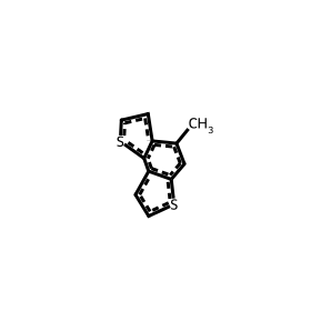 Cc1cc2sccc2c2sccc12